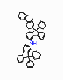 CC1=C(C2=C(C)C3=C(CC2)C2(c4ccccc43)c3ccccc3-c3c(Nc4ccc5c(c4)C(c4ccccc4)(c4ccccc4)c4ccccc4-5)cccc32)C=CCC1